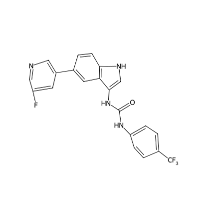 O=C(Nc1ccc(C(F)(F)F)cc1)Nc1c[nH]c2ccc(-c3cncc(F)c3)cc12